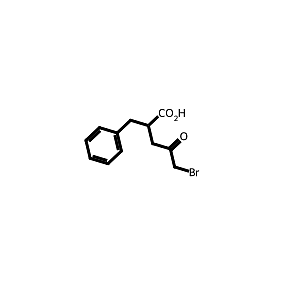 O=C(CBr)CC(Cc1ccccc1)C(=O)O